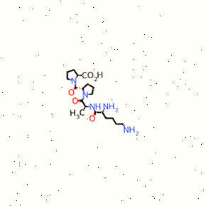 C[C@H](NC(=O)[C@@H](N)CCCCN)C(=O)N1CCC[C@H]1C(=O)N1CCC[C@H]1C(=O)O